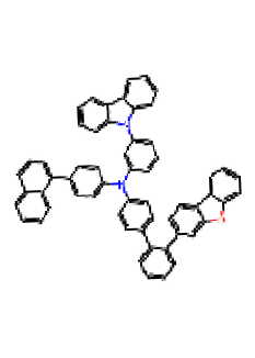 c1cc(N(c2ccc(-c3ccccc3-c3ccc4c(c3)oc3ccccc34)cc2)c2ccc(-c3cccc4ccccc34)cc2)cc(-n2c3ccccc3c3ccccc32)c1